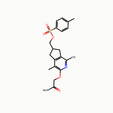 CNC(=O)COc1nc(C#N)c2c(c1C)CC(COS(=O)(=O)c1ccc(C)cc1)C2